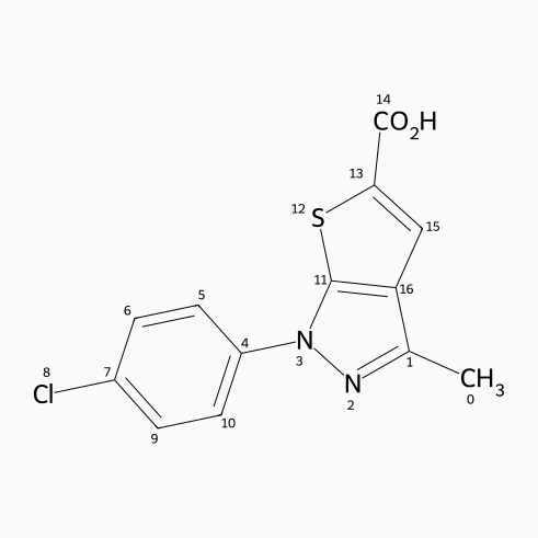 Cc1nn(-c2ccc(Cl)cc2)c2sc(C(=O)O)cc12